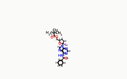 CC(C)(C)C(=O)OCC1CCC(I)(n2cnc3c(NC(=O)c4ccccc4)ncnc32)O1